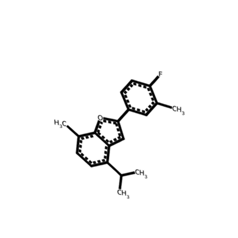 Cc1cc(-c2cc3c(C(C)C)ccc(C)c3o2)ccc1F